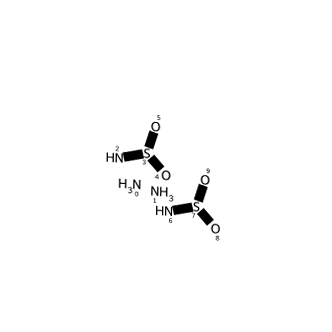 N.N.N=S(=O)=O.N=S(=O)=O